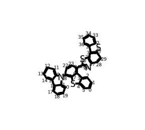 c1ccc2c(c1)sc1c(-n3c4ccccc4c4ccccc43)ccc(-c3nc4ccc5sc6ccccc6c5c4s3)c12